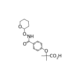 CC(C)(Oc1ccc(C(=O)NOC2CCCCO2)cc1)C(=O)O